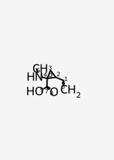 C=CC1CC1(NC)C(=O)O